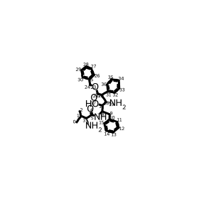 CC(C)[C@H](N)C(=O)NC(Cc1ccccc1)C(O)[C@@H](N)C(C(=O)OCc1ccccc1)c1ccccc1